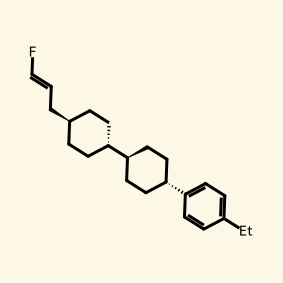 CCc1ccc([C@H]2CC[C@H]([C@H]3CC[C@H](CC=CF)CC3)CC2)cc1